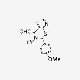 COc1ccc(C2Sc3ncccc3C(C=O)N2C(C)C)cc1